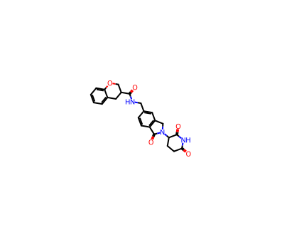 O=C1CCC(N2Cc3cc(CNC(=O)C4COc5ccccc5C4)ccc3C2=O)C(=O)N1